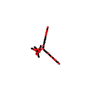 CCCCCCCCC1=C(c2cccc(CCCC)c2)[N+](=[N-])C(c2cccc(CCCC)c2)=C1CCCCCC.CCCCCCCCCCCCCCCCCCCCCCCCCC[CH2][Ni][CH2]CCCCCCCCCCCCCCCCCCCCCCCCCC